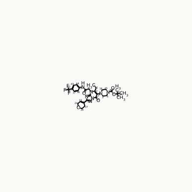 CCc1c(N2CCN(C(=O)OC(C)(C)C)CC2)c(=O)n2nc(C3=CCOCC3)nc2n1CC(=O)Nc1ccc(C(F)(F)F)cc1